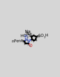 CCCCCc1cc(=O)n(-c2ccc(S(=O)(=O)O)cc2S(=O)(=O)O)[nH]1.[Na].[Na]